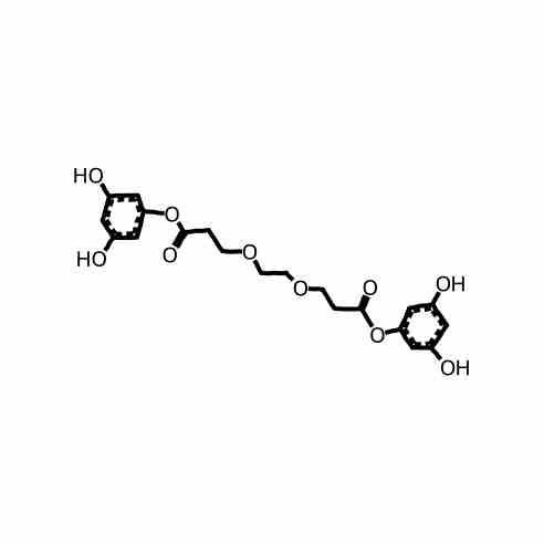 O=C(CCOCCOCCC(=O)Oc1cc(O)cc(O)c1)Oc1cc(O)cc(O)c1